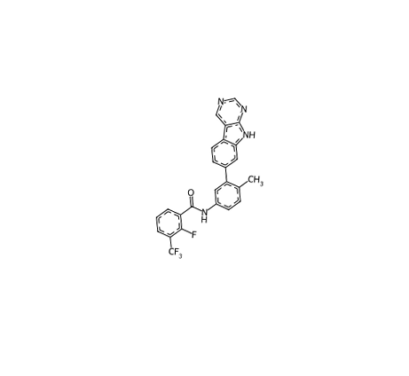 Cc1ccc(NC(=O)c2cccc(C(F)(F)F)c2F)cc1-c1ccc2c(c1)[nH]c1ncncc12